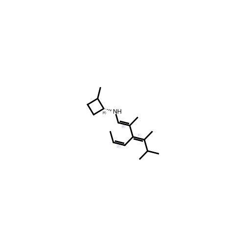 C\C=C/C(C(/C)=C/N[C@@H]1CCC1C)=C(/C)C(C)C